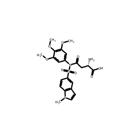 COc1cc(N(C(=O)C[C@H](N)C(=O)O)S(=O)(=O)c2ccc3c(ccn3C)c2)cc(OC)c1OC